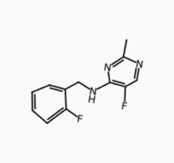 Cc1ncc(F)c(NCc2ccccc2F)n1